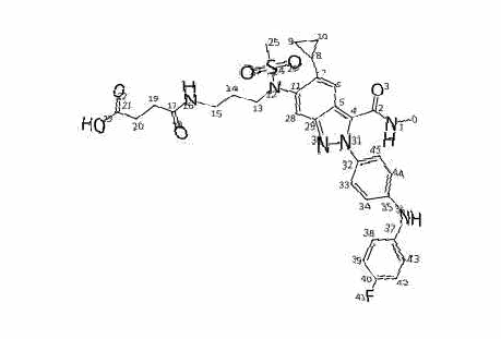 CNC(=O)c1c2cc(C3CC3)c(N(CCCNC(=O)CCC(=O)O)S(C)(=O)=O)cc2nn1-c1ccc(Nc2ccc(F)cc2)cc1